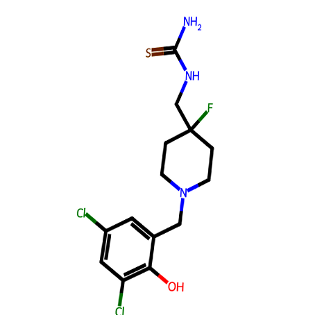 NC(=S)NCC1(F)CCN(Cc2cc(Cl)cc(Cl)c2O)CC1